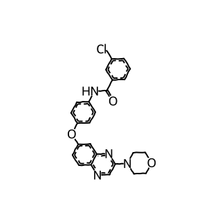 O=C(Nc1ccc(Oc2ccc3ncc(N4CCOCC4)nc3c2)cc1)c1cccc(Cl)c1